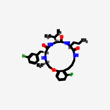 CCC[C@@H]1NC(=O)[C@@H](C(C)C)NC(=O)[C@@H](Cc2cccc(F)c2)N[C@@H](C)COc2cccc(F)c2CCCNC1=O